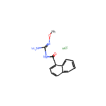 CCCON=C(N)NC(=O)c1cccc2ccccc12.Cl